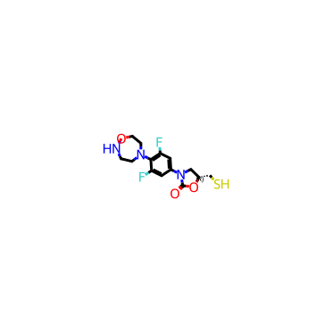 O=C1O[C@@H](CS)CN1c1cc(F)c(N2CCNOCC2)c(F)c1